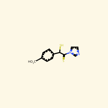 O=C(O)c1ccc(C(S)C(=S)n2ccnc2)cc1